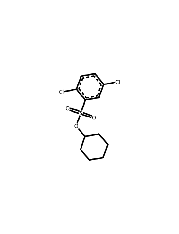 O=S(=O)(OC1CCCCC1)c1cc(Cl)ccc1Cl